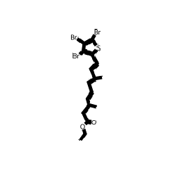 CCOC(=O)/C=C(C)/C=C/C=C(C)/C=C/c1sc(Br)c(Br)c1Br